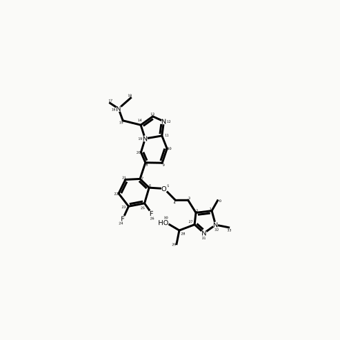 Cc1c(CCOc2c(-c3ccc4ncc(CN(C)C)n4c3)ccc(F)c2F)c(C(C)O)nn1C